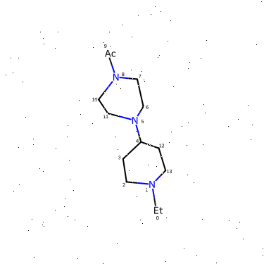 CCN1CCC(N2CCN(C(C)=O)CC2)CC1